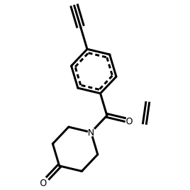 C#Cc1ccc(C(=O)N2CCC(=O)CC2)cc1.C=C